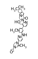 C[C@H]1CN(C2COC2)CCN1c1ccc(NC2=CC(c3ccnc(N4CCn5c(cc6c5CC(C)(C)C6)C4=O)c3CO)=CN(C)C2)nc1